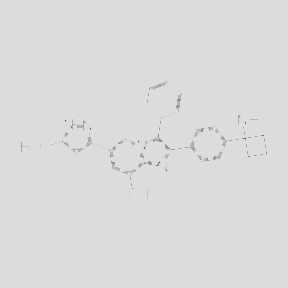 Cc1cc(-c2cc(C)c3nc(-c4ccc(C5(N)CCC5)cc4)c(C4C=CC=CC4)n3c2)[nH]n1